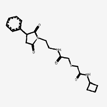 O=C(CSCC(=O)NC1CCC1)NCCN1C(=O)CC(c2ccccc2)C1=O